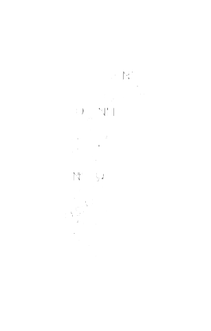 Cc1ccc(S(=O)(=O)Cc2nc(-c3ccc(C(=O)NCc4cccnc4)cc3)oc2C)c(C)c1